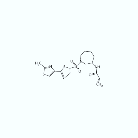 C=CC(=O)NC1CCCCN(S(=O)(=O)c2ccc(-c3csc(C)n3)s2)C1